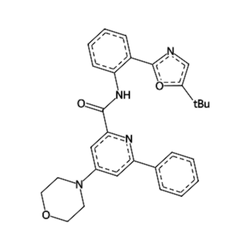 CC(C)(C)c1cnc(-c2ccccc2NC(=O)c2cc(N3CCOCC3)cc(-c3ccccc3)n2)o1